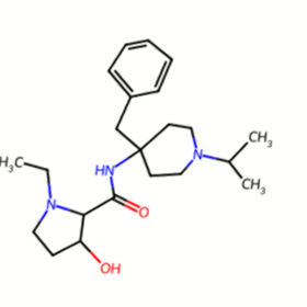 CCN1CCC(O)C1C(=O)NC1(Cc2ccccc2)CCN(C(C)C)CC1